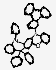 c1ccc(N2c3ccccc3C(c3ccccc3)(c3ccccc3)c3cc4c(cc32)N(c2ccc3c5ccccc5c5ccccc5c3c2)c2ccccc2O4)cc1